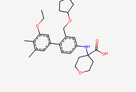 CCOc1cc(-c2ccc(NC3(C(=O)O)CCOCC3)cc2COC2CCCC2)cc(C)c1C